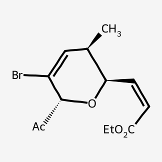 CCOC(=O)/C=C\[C@H]1O[C@H](C(C)=O)C(Br)=C[C@H]1C